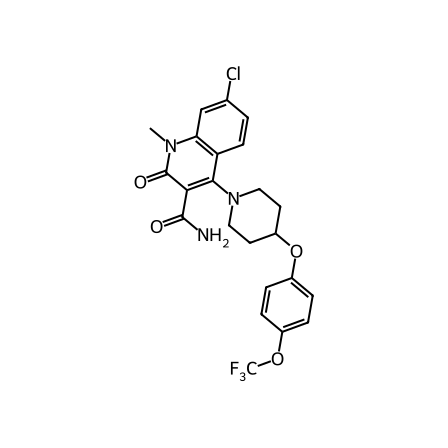 Cn1c(=O)c(C(N)=O)c(N2CCC(Oc3ccc(OC(F)(F)F)cc3)CC2)c2ccc(Cl)cc21